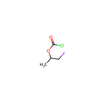 CC(CI)OC(=O)Cl